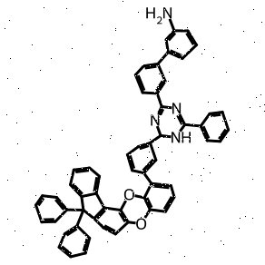 Nc1cccc(-c2cccc(C3=NC(c4cccc(-c5cccc6c5Oc5c(ccc7c5-c5ccccc5C7(c5ccccc5)c5ccccc5)O6)c4)NC(c4ccccc4)=N3)c2)c1